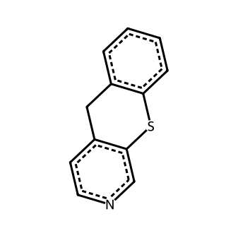 c1ccc2c(c1)Cc1ccncc1S2